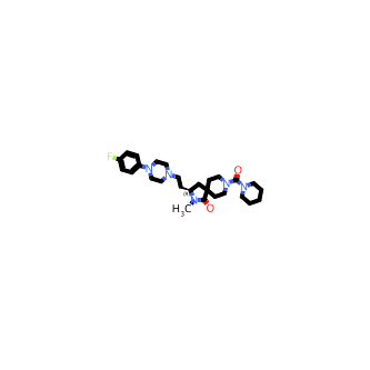 CN1C(=O)C2(CCN(C(=O)N3CCCCC3)CC2)C[C@@H]1CCN1CCN(c2ccc(F)cc2)CC1